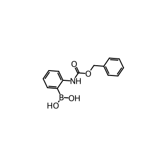 O=C(Nc1ccccc1B(O)O)OCc1ccccc1